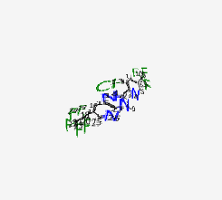 Cn1c(-c2ncc(C(F)(F)F)cc2Cl)nc2cc(C(F)(F)C(F)(F)F)cnc21